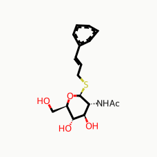 CC(=O)N[C@@H]1[C@@H](O)[C@H](O)[C@@H](CO)O[C@H]1SC/C=C/c1ccccc1